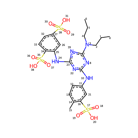 CCCN(CCC)c1nc(Nc2ccc(C)c(S(=O)(=O)O)c2)nc(Nc2cc(S(=O)(=O)O)ccc2S(=O)(=O)O)n1